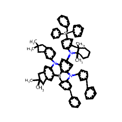 CC1(C)Cc2ccc(N3c4cc5c(cc4B4c6ccc(-c7ccccc7)cc6N(c6cccc(-c7ccccc7)c6)c6cc(N7c8ccc([Si](c9ccccc9)(c9ccccc9)c9ccccc9)cc8C8(C)CCCCC78C)cc3c64)CC(C)(C)C5)cc2C1